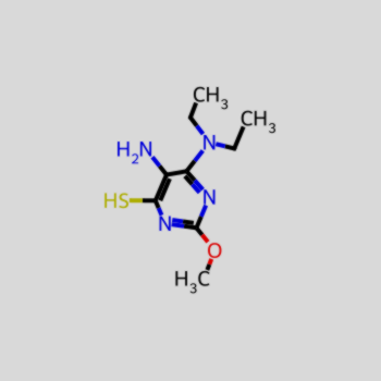 CCN(CC)c1nc(OC)nc(S)c1N